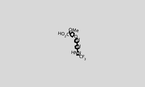 COC[C@]1(C(=O)O)CC[C@H](Oc2ccc(-c3ccc(-c4nc(C(F)(F)F)c[nH]4)cn3)cn2)CC1